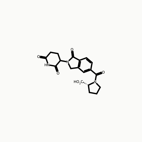 O=C1CCC(N2Cc3cc(C(=O)N4CCC[C@@H]4C(=O)O)ccc3C2=O)C(=O)N1